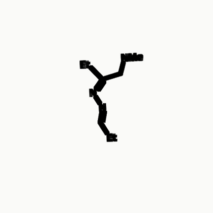 CC/C=N/N=C(/CC)CNC